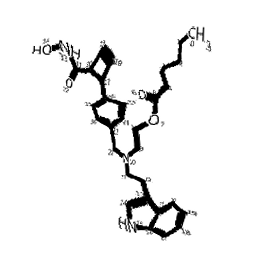 CCCCCC(=O)OCCN(CCc1c[nH]c2ccccc12)Cc1ccc(C2C#CC2C(=O)NO)cc1